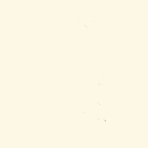 CC(=O)OCc1ccc(NC(=O)[C@H](C)NC(=O)C(NC(=O)CCCCCN2C(=O)C=CC2=O)C(C)C)cc1